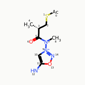 CC(=O)SC[C@@H](C)C(=O)N(C)[n+]1cc([NH-])on1